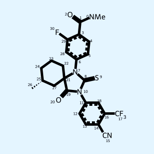 CNC(=O)c1ccc(N2C(=S)N(c3ccc(C#N)c(C(F)(F)F)c3)C(=O)C23CCC[C@@H](C)C3)cc1F